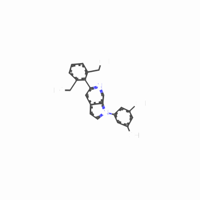 CCc1cccc(CC)c1-c1cc2ccn(-c3cc(C)cc(C)c3)c2cn1